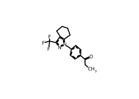 CCC(=O)c1ccc(-n2nc(C(F)(F)F)c3c2CCCC3)cc1